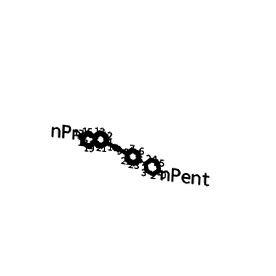 CCCCC[C@H]1CC[C@H](c2ccc(C#Cc3ccc4cc(CCC)ccc4c3)cc2)CC1